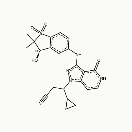 CC1(C)[C@H](O)c2cc(Nc3nn(C(CC#N)C4CC4)c4cc[nH]c(=O)c34)ccc2S1(=O)=O